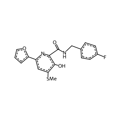 CSc1cc(-c2ccco2)nc(C(=O)NCc2ccc(F)cc2)c1O